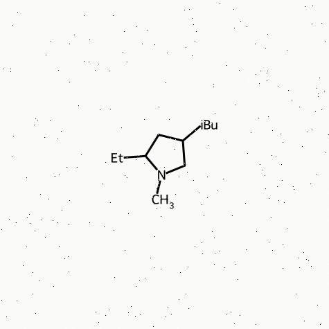 CCC(C)C1CC(CC)N(C)C1